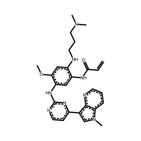 C=CC(=O)Nc1cc(Nc2nccc(-c3cn(C)c4cccnc34)n2)c(OC)cc1NCCCN(C)C